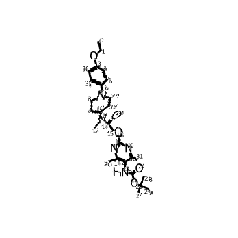 CCOc1ccc(N2CCC(N(C)C(=O)COc3nc(C)c(NC(=O)OC(C)(C)C)c(C)n3)CC2)cc1